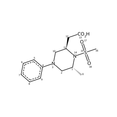 C[C@@H]1CN(c2ccccc2)C[C@@H](CC(=O)O)N1S(C)(=O)=O